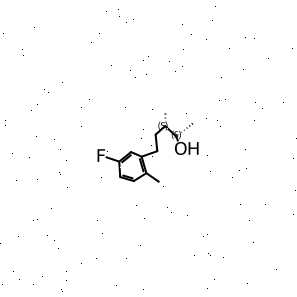 Cc1ccc(F)cc1CC[C@H](C)[C@H](C)O